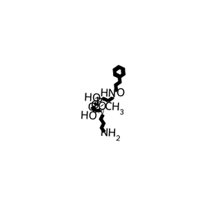 CC(CNC(=O)CCc1ccccc1)CP(=O)(O)O[C@H](CCCCN)C(=O)O